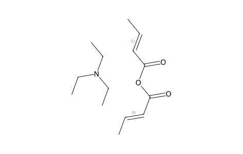 C/C=C/C(=O)OC(=O)/C=C/C.CCN(CC)CC